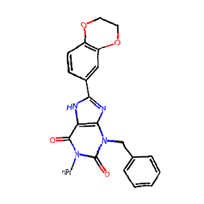 CCCn1c(=O)c2[nH]c(-c3ccc4c(c3)OCCO4)nc2n(Cc2ccccc2)c1=O